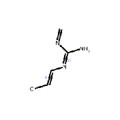 C=N/C(N)=N\C=C\Cl